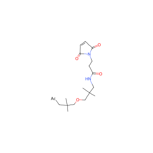 CC(=O)CC(C)(C)COCC(C)(C)CNC(=O)CCN1C(=O)C=CC1=O